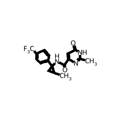 Cc1nc(C(=O)NC2(c3ccc(C(F)(F)F)cc3)CC2C)cc(=O)[nH]1